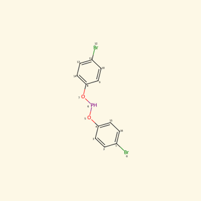 Brc1ccc(OPOc2ccc(Br)cc2)cc1